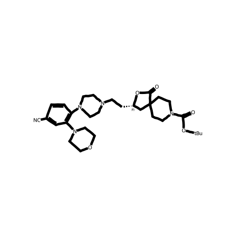 CC(C)(C)OC(=O)N1CCC2(CC1)C[C@H](CCN1CCN(c3ccc(C#N)cc3N3CCOCC3)CC1)OC2=O